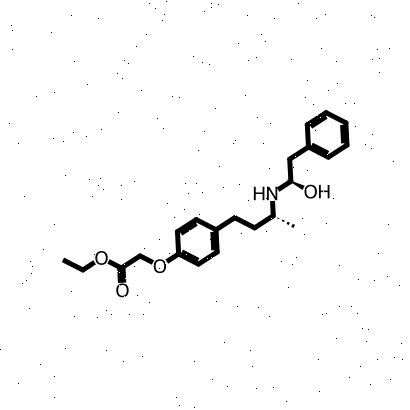 CCOC(=O)COc1ccc(CC[C@@H](C)N[C@H](O)Cc2ccccc2)cc1